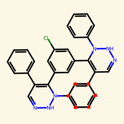 Clc1cc(C2=C(c3ccccc3)C=NNN2c2ccccc2)cc(C2=C(c3ccccc3)C=NNN2c2ccccc2)c1